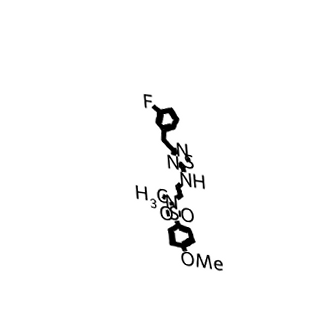 COc1ccc(S(=O)(=O)N(C)CCNc2nc(Cc3cccc(F)c3)ns2)cc1